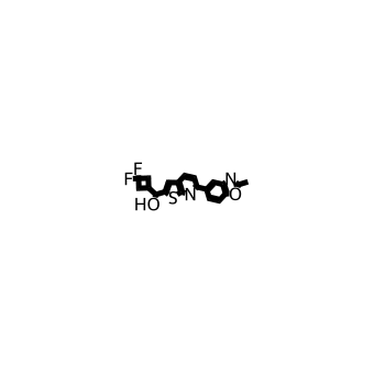 Cc1nc2cc(-c3ccc4cc(C(O)C5CC(F)(F)C5)sc4n3)ccc2o1